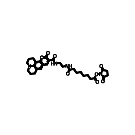 O=C(CCCCCCC(=O)ON1C(=O)CCC1=O)NCCNC(=O)c1cc2cc3c4c(c2oc1=O)CCCN4CCC3